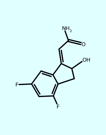 NC(=O)C=C1c2cc(F)cc(F)c2CC1O